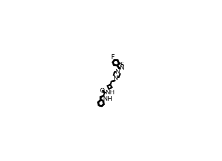 O=C(NC1CC(CCN2CCN(c3nsc4cc(F)ccc34)CC2)C1)c1cc2ccccc2[nH]1